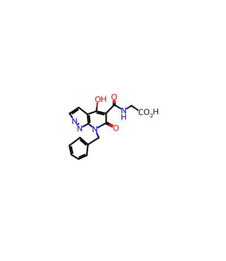 O=C(O)CNC(=O)c1c(O)c2ccnnc2n(Cc2ccccc2)c1=O